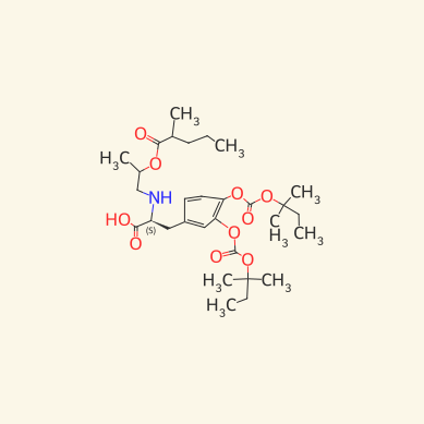 CCCC(C)C(=O)OC(C)CN[C@@H](Cc1ccc(OC(=O)OC(C)(C)CC)c(OC(=O)OC(C)(C)CC)c1)C(=O)O